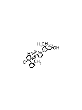 Cc1ccccc1-c1nc(NS(=O)(=O)c2cccc(N(CCCC(=O)O)CC(C)C)n2)ccc1Cl